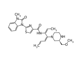 C=C/C=C(\C(=C/C)NC(=O)c1csc(-n2c(=O)n(C)c3ccccc32)n1)N1CCN[C@@H](COC)C1